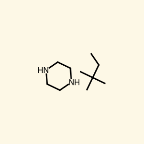 C1CNCCN1.CCC(C)(C)C